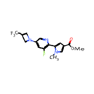 COC(=O)c1cc(-c2ncc(N3CC(C(F)(F)F)C3)cc2F)n(C)c1